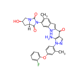 Cc1cc2cc(C(=O)c3cnn(-c4ccc(Oc5ccccc5F)cc4C)c3N)[nH]c2cc1N1C(=O)[C@@H]2C[C@@H](O)CN2C1=O